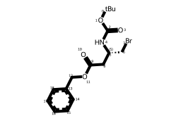 CC(C)(C)OC(=O)N[C@H](CBr)CC(=O)OCc1ccccc1